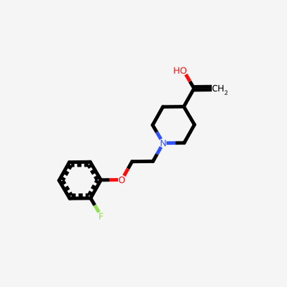 C=C(O)C1CCN(CCOc2ccccc2F)CC1